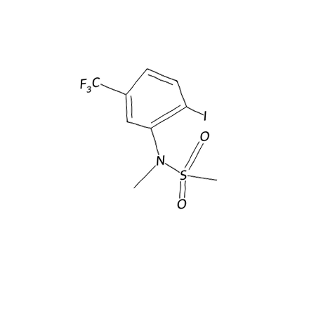 CN(c1cc(C(F)(F)F)ccc1I)S(C)(=O)=O